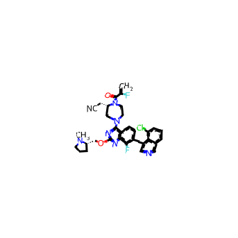 C=C(F)C(=O)N1CCN(c2nc(OC[C@@H]3CCCN3C)nc3c(F)c(-c4cncc5cccc(Cl)c45)ccc23)C[C@@H]1CC#N